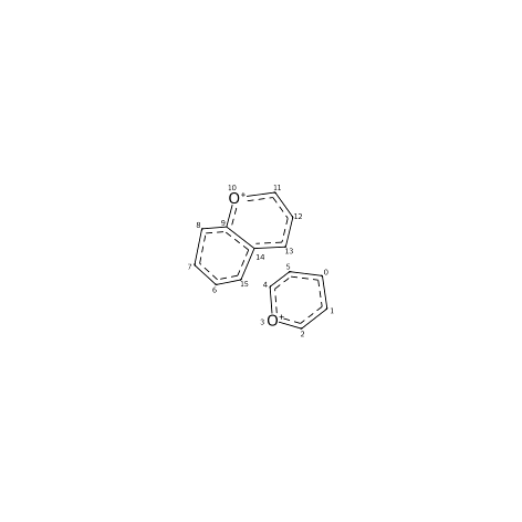 c1cc[o+]cc1.c1ccc2[o+]cccc2c1